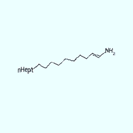 CCCCCCCCCCCCCCCC=CN